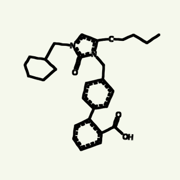 CCCCCc1cn(CC2CCCCC2)c(=O)n1Cc1ccc(-c2ccccc2C(=O)O)cc1